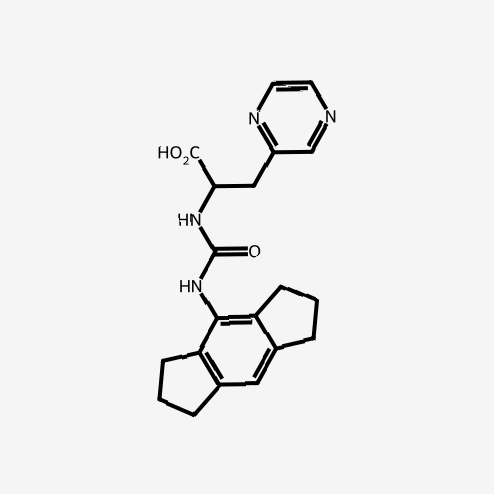 O=C(Nc1c2c(cc3c1CCC3)CCC2)NC(Cc1cnccn1)C(=O)O